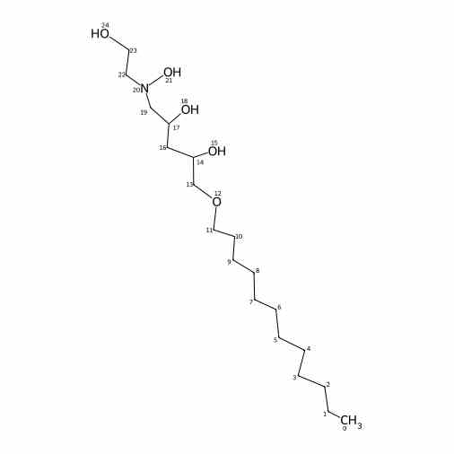 CCCCCCCCCCCCOCC(O)CC(O)CN(O)CCO